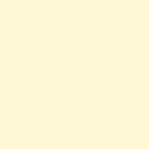 CC1(C)CCC(C(=O)O)C(C(=O)NNc2ccccc2)CC1